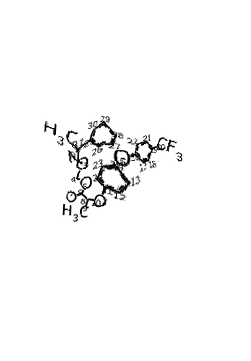 CC(=NOCOC(=O)C(C)Oc1ccc(Oc2ccc(C(F)(F)F)cc2)cc1)c1ccccc1